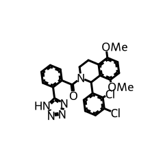 COc1ccc(OC)c2c1CCN(C(=O)c1ccccc1-c1nnn[nH]1)C2c1cccc(Cl)c1Cl